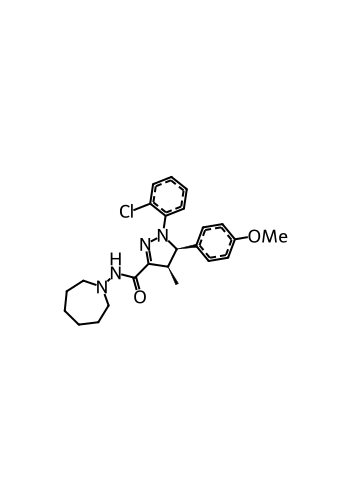 COc1ccc([C@H]2[C@@H](C)C(C(=O)NN3CCCCCC3)=NN2c2ccccc2Cl)cc1